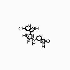 O=C1CC2(CCC[C@H](NC3=NC(c4c[nH]c5ncc(Cl)cc45)NC=C3F)C2)CN1